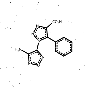 Nc1nonc1-n1nnc(C(=O)O)c1-c1ccccc1